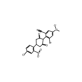 C[S+]([O-])c1cc(Br)c(C2C(=O)CC(c3ccc(Cl)cc3[N+](=O)[O-])CC2=O)c(C#N)c1